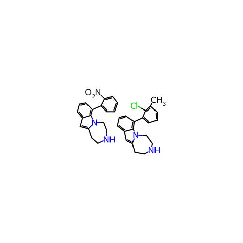 Cc1cccc(-c2cccc3cc4n(c23)CCNCC4)c1Cl.O=[N+]([O-])c1ccccc1-c1cccc2cc3n(c12)CCNCC3